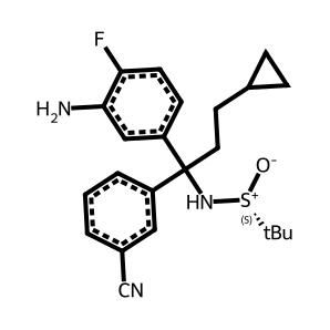 CC(C)(C)[S@@+]([O-])NC(CCC1CC1)(c1cccc(C#N)c1)c1ccc(F)c(N)c1